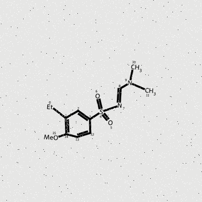 CCc1cc(S(=O)(=O)/N=C/N(C)C)ccc1OC